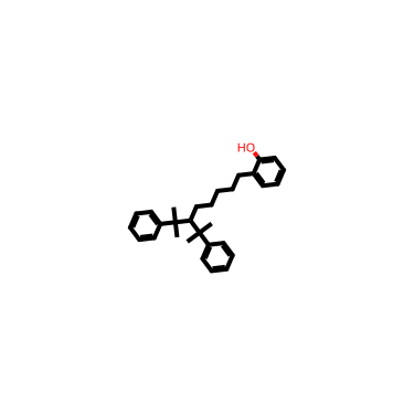 CC(C)(c1ccccc1)C(CCCCCc1ccccc1O)C(C)(C)c1ccccc1